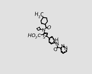 CC1CCC(C(=O)N(c2cc(-c3ccc(NC(=O)c4cccnn4)cc3)sc2C(=O)O)C2CCC2)CC1